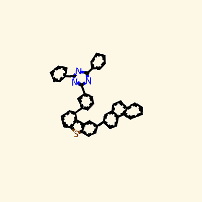 c1ccc(-c2nc(-c3ccccc3)nc(-c3cccc(-c4cccc5sc6ccc(-c7ccc8c(ccc9ccccc98)c7)cc6c45)c3)n2)cc1